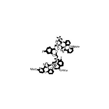 COc1cccc(-c2nnc(N(CC[Si](C)(C)C)S(=O)(=O)C[C@H](OCC[Si](C)(C)CCN(c3nnc(-c4cccc(OC)n4)n3-c3c(OC)cccc3OC)S(=O)(=O)C[C@@H](OC)c3ccc(F)cc3C#N)c3ccc(F)cc3C#N)n2-c2c(OC)cccc2OC)n1